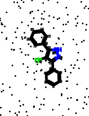 Clc1c(-c2ccccc2)n[nH]c1-c1ccccc1